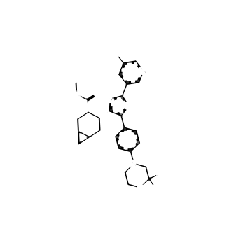 COC(=O)[C@@H]1CC2CC2C[C@H]1c1nc(-c2cncc(F)c2)sc1-c1ccc(N2CCSC(O)(O)C2)cc1